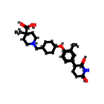 Cc1cc(C2CCC(=O)NC2=O)ccc1OC1CCC(CN2CCC(C)(C(=O)O)CC2)CC1